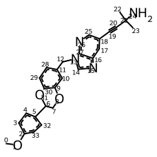 COc1ccc(C2COc3cc(Cn4cnc5cc(C#CC(C)(C)N)cnc54)ccc3O2)cc1